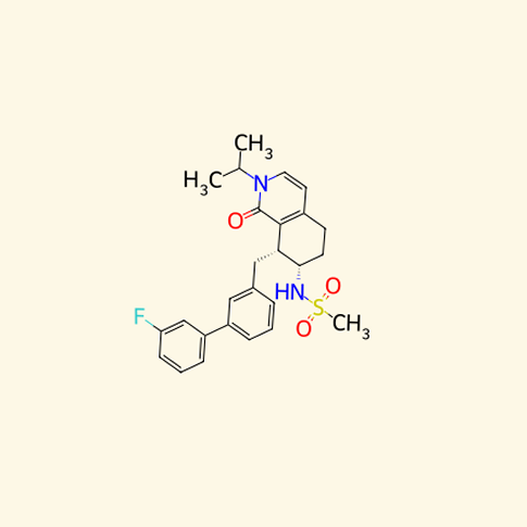 CC(C)n1ccc2c(c1=O)[C@@H](Cc1cccc(-c3cccc(F)c3)c1)[C@@H](NS(C)(=O)=O)CC2